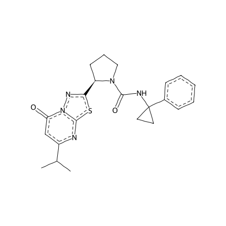 CC(C)c1cc(=O)n2nc([C@H]3CCCN3C(=O)NC3(c4ccccc4)CC3)sc2n1